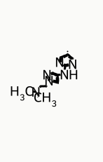 CN(C)CCn1cc(Nc2nc[c]cn2)cn1